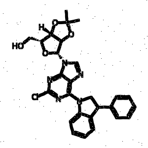 CC1(C)OC2[C@@H](O1)[C@@H](CO)O[C@H]2n1cnc2c(N3CC(c4ccccc4)c4ccccc43)nc(Cl)nc21